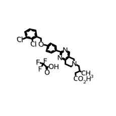 CC(CC(=O)O)CN1CCc2nc(-c3ccc(OCc4cccc(Cl)c4Cl)cc3)ncc2C1.O=C(O)C(F)(F)F